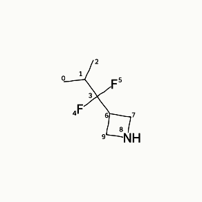 CC(C)C(F)(F)C1CNC1